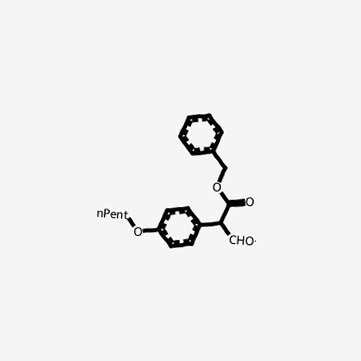 CCCCCOc1ccc(C([C]=O)C(=O)OCc2ccccc2)cc1